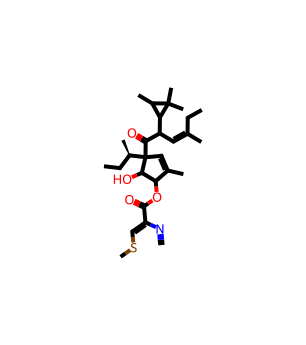 C=N/C(=C\SC)C(=O)OC1C(C)=CC(C(=O)C(/C=C(/C)CC)C2C(C)C2(C)C)([C@H](C)CC)C1O